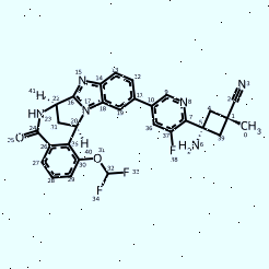 C[C@]1(C#N)C[C@](N)(c2ncc(-c3ccc4nc5n(c4c3)[C@@H]3C[C@H]5NC(=O)c4cccc(OC(F)F)c43)cc2F)C1